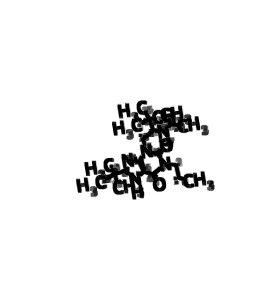 CCCn1c(=O)c2[nH]c(C(C)(C)C)nc2n(CC(NC(C)C)C(C)(C)C)c1=O